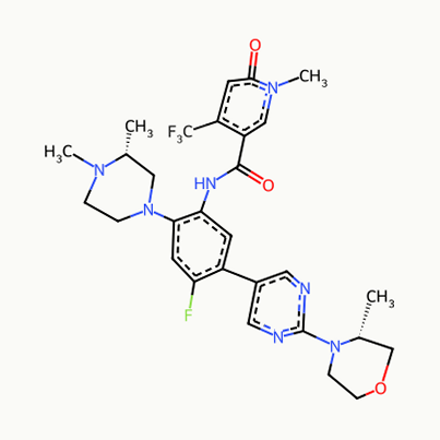 C[C@@H]1CN(c2cc(F)c(-c3cnc(N4CCOC[C@H]4C)nc3)cc2NC(=O)c2cn(C)c(=O)cc2C(F)(F)F)CCN1C